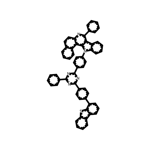 c1ccc(-c2nc(-c3ccc(-c4cccc5c4sc4ccccc45)cc3)nc(-c3ccc(-n4c5ccccc5c5c(-c6ccccc6)nc6ccc7ccccc7c6c54)cc3)n2)cc1